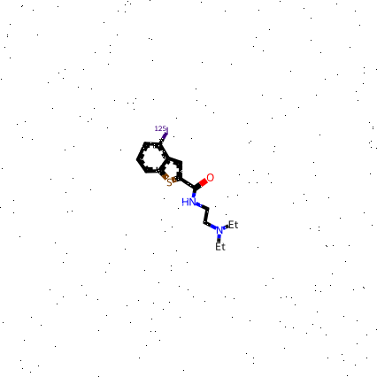 CCN(CC)CCNC(=O)c1cc2c([125I])cccc2s1